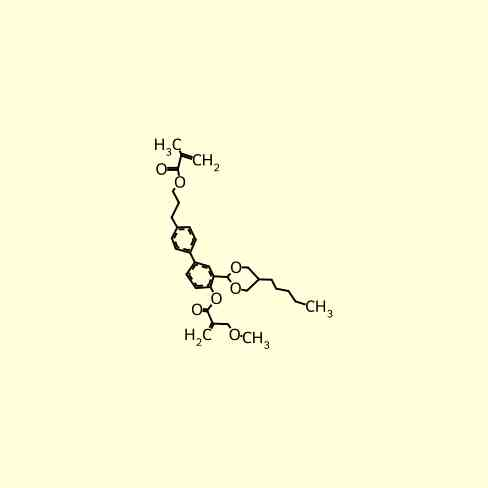 C=C(C)C(=O)OCCCc1ccc(-c2ccc(OC(=O)C(=C)COC)c(C3OCC(CCCCC)CO3)c2)cc1